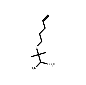 C=CCCCSC(C)(C)C(N)C(=O)O